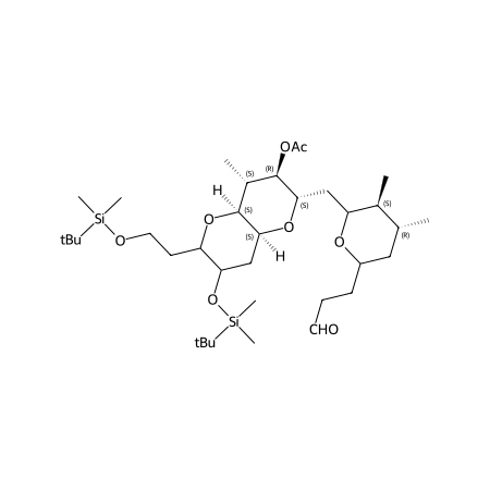 CC(=O)O[C@@H]1[C@@H](C)[C@@H]2OC(CCO[Si](C)(C)C(C)(C)C)C(O[Si](C)(C)C(C)(C)C)C[C@@H]2O[C@H]1CC1OC(CCC=O)C[C@@H](C)[C@@H]1C